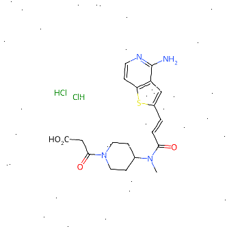 CN(C(=O)/C=C/c1cc2c(N)nccc2s1)C1CCN(C(=O)CC(=O)O)CC1.Cl.Cl